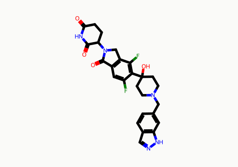 O=C1CCC(N2Cc3c(cc(F)c(C4(O)CCN(Cc5ccc6cn[nH]c6c5)CC4)c3F)C2=O)C(=O)N1